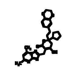 Cc1cc(C)n2nc(CC3=C(O)CC(CCc4ccc5c(c4)OCCO5)(C4CCCC4)OC3=O)nc2n1